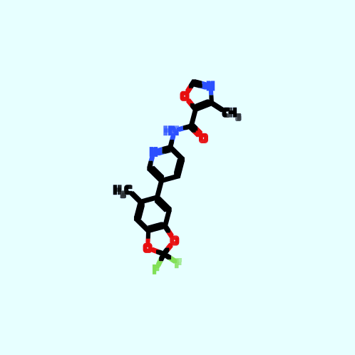 Cc1cc2c(cc1-c1ccc(NC(=O)c3ocnc3C)nc1)OC(F)(F)O2